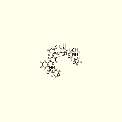 CC(C)(CC(=O)N[C@@H]1CSc2ccccc2N(Cc2ccc(-c3ccccc3NC(=O)N3CCOCC3)cc2)C1=O)NCc1ccco1